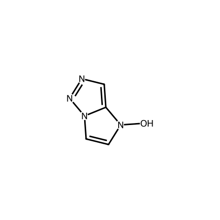 On1ccn2nncc12